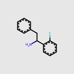 NC(Cc1ccccc1)c1ccccc1F